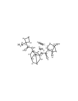 N#C[C@@H]1C[C@@H]2C[C@@H]2N1C(=O)[C@@H](N)C12CC3CC(CC(OC(=O)C4(N)CCC4)(C3)C1)C2